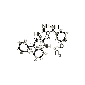 COc1cc(C(=N)OC(=N)NC2N=C(c3ccccc3)c3ccccc3NC2=O)ccn1